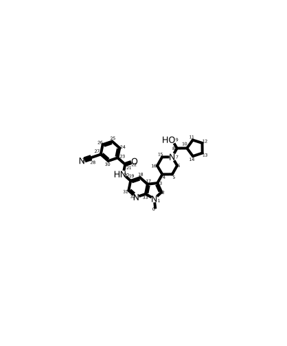 Cn1cc(C2CCN(C(O)C3CCCC3)CC2)c2cc(NC(=O)c3cccc(C#N)c3)cnc21